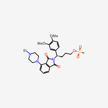 CCN1CCN(c2cccc3c2C(=O)N([C@H](CCCOS(C)(=O)=O)c2ccc(OC)c(OC)c2)C3=O)CC1